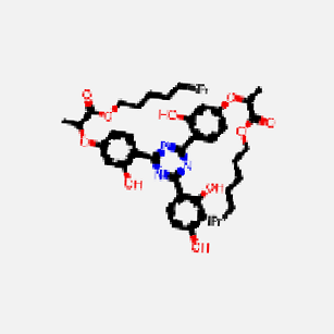 CC(C)CCCCCOC(=O)C(C)Oc1ccc(-c2nc(-c3ccc(O)cc3O)nc(-c3ccc(OC(C)C(=O)OCCCCCC(C)C)cc3O)n2)c(O)c1